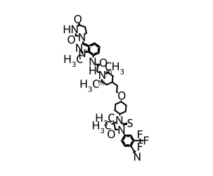 C[C@@H]1CC(CCO[C@H]2CC[C@H](N3C(=S)N(c4ccc(C#N)c(C(F)(F)F)c4)C(=O)C3(C)C)CC2)C[C@H](C)N1CC(=O)Nc1cccc2c(N3CCC(=O)NC3=O)nn(C)c12